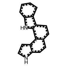 c1ccc2c(c1)[nH]c1c2ccc2ccc3[nH]ccc3c21